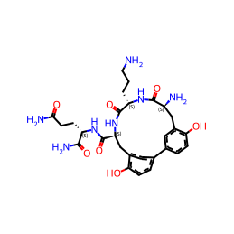 NCCC[C@@H]1NC(=O)[C@@H](N)Cc2cc(ccc2O)-c2ccc(O)c(c2)C[C@@H](C(=O)N[C@@H](CCC(N)=O)C(N)=O)NC1=O